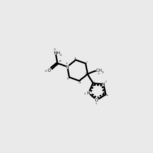 CC1(c2ncon2)CCN(C(N)=O)CC1